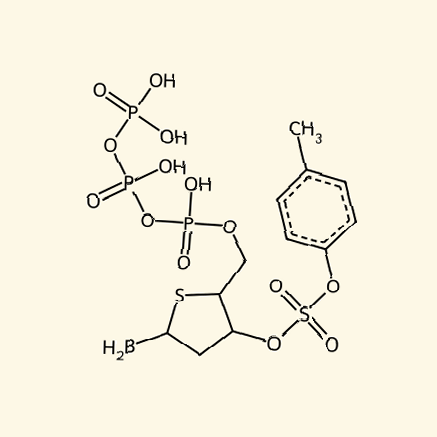 BC1CC(OS(=O)(=O)Oc2ccc(C)cc2)C(COP(=O)(O)OP(=O)(O)OP(=O)(O)O)S1